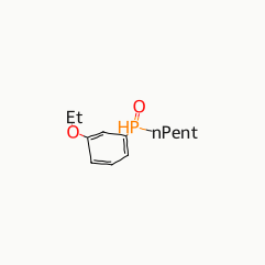 CCCCC[PH](=O)c1cccc(OCC)c1